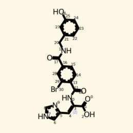 O=C(O)/C(=C/c1c[nH]cn1)NC(=O)c1ccc(C(=O)NCc2cccc(O)c2)cc1Br